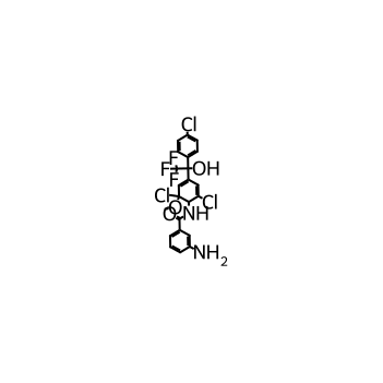 COC1(Cl)C=C(C(O)(c2ccc(Cl)cc2)C(F)(F)F)C=C(Cl)C1NC(=O)c1cccc(N)c1